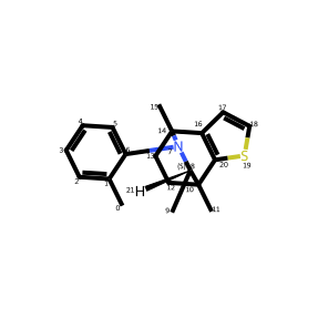 Cc1ccccc1N1[C@@H](C)C2(C)CCC1(C)c1ccsc12